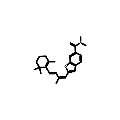 CC(C=CC1=C(C)CCCC1(C)C)=Cc1cc2ccc(C(=O)N(C)C)cc2o1